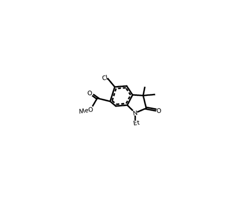 CCN1C(=O)C(C)(C)c2cc(Cl)c(C(=O)OC)cc21